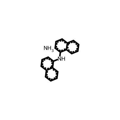 N.c1ccc2c(Nc3cccc4ccccc34)cccc2c1